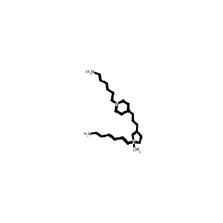 C[N+]1(CCCCCCN)CCC(CCCC2CCN(CCCCCCN)CC2)C1